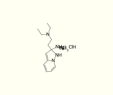 CCN(CC)CCC1(N)C=C2C=CC=CN2N1.Cl.Cl.N